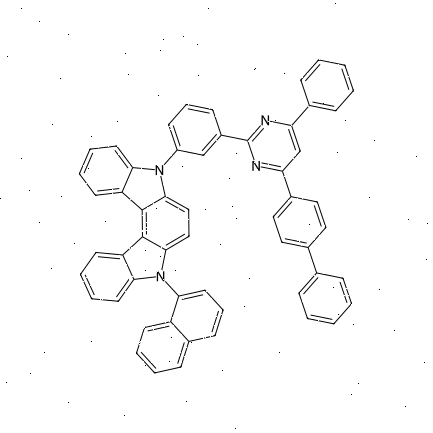 c1ccc(-c2ccc(-c3cc(-c4ccccc4)nc(-c4cccc(-n5c6ccccc6c6c7c8ccccc8n(-c8cccc9ccccc89)c7ccc65)c4)n3)cc2)cc1